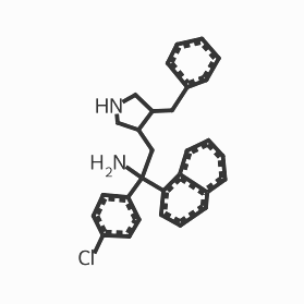 NC(CC1CNCC1Cc1ccccc1)(c1ccc(Cl)cc1)c1cccc2ccccc12